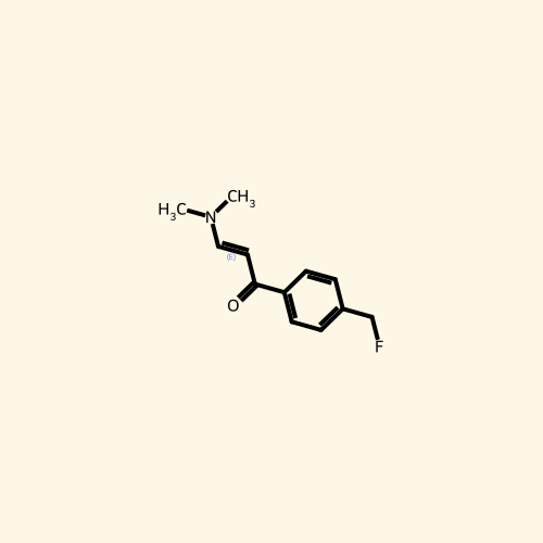 CN(C)/C=C/C(=O)c1ccc(CF)cc1